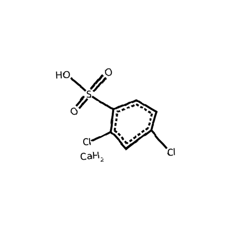 O=S(=O)(O)c1ccc(Cl)cc1Cl.[CaH2]